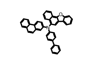 c1ccc(-c2ccc(N(c3ccc4c(ccc5ccccc54)c3)c3cc4c5ccccc5oc4c4ccccc34)cc2)cc1